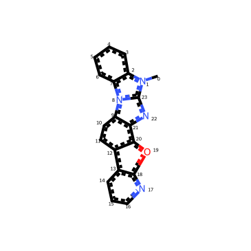 Cn1c2ccccc2n2c3ccc4c5cccnc5oc4c3nc12